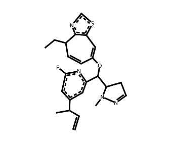 C=CC(C)c1cc(F)nc(C(OC2=Cc3scnc3C(CC)C=C2)C2CC=NN2C)c1